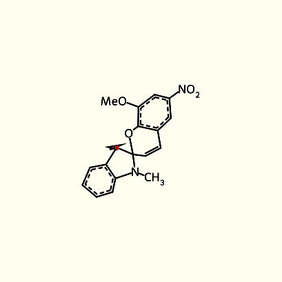 COc1cc([N+](=O)[O-])cc2c1OC1(C=C2)N(C)c2ccccc2C12CCCC2